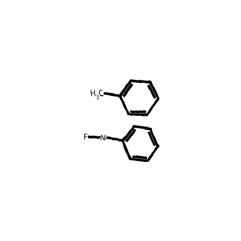 Cc1ccccc1.[F][Ni][c]1ccccc1